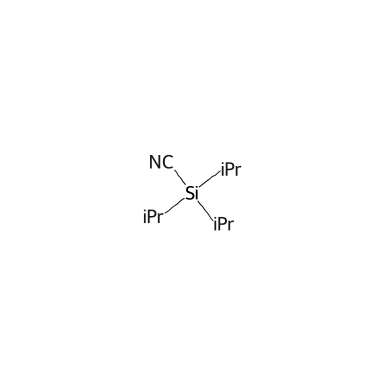 CC(C)[Si](C#N)(C(C)C)C(C)C